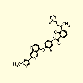 CCCC(F)CCC(C)n1cccc(C(=O)Nc2ccc(Oc3ccnc4cc(-c5cnn(C)c5)ncc34)c(F)c2)c1=O